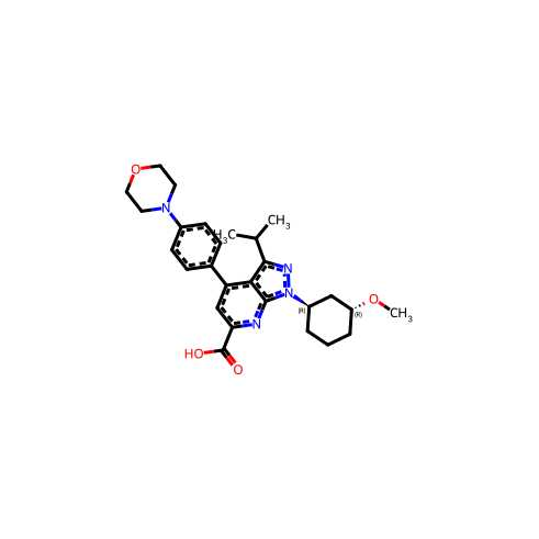 CO[C@@H]1CCC[C@@H](n2nc(C(C)C)c3c(-c4ccc(N5CCOCC5)cc4)cc(C(=O)O)nc32)C1